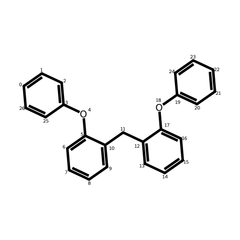 c1ccc(Oc2ccccc2Cc2ccccc2Oc2ccccc2)cc1